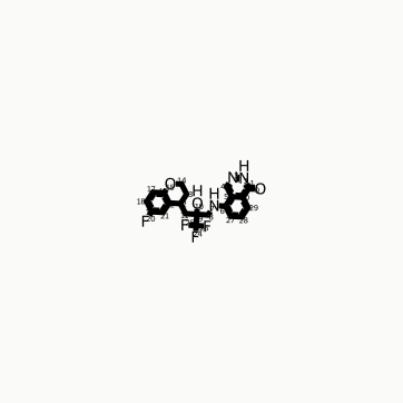 O=c1[nH]ncc2c(NCC(O)(CC3CCOc4ccc(F)cc43)C(F)(F)F)cccc12